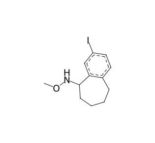 CONC1CCCCc2ccc(I)cc21